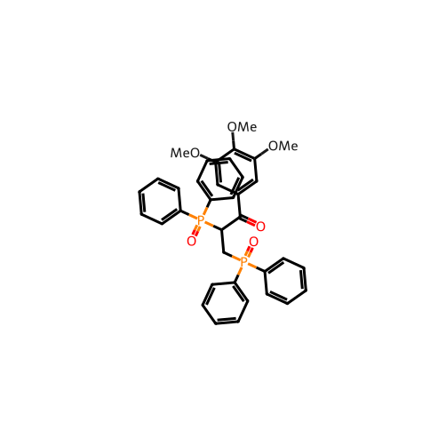 COc1cc(C(=O)C(CP(=O)(c2ccccc2)c2ccccc2)P(=O)(c2ccccc2)c2ccccc2)cc(OC)c1OC